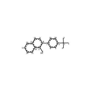 CC(C)(C)c1ccc(-c2ccc3ccccc3c2I)cc1